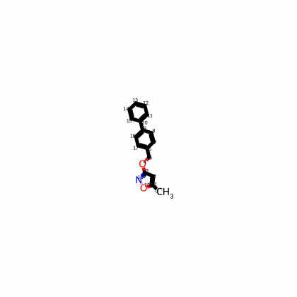 Cc1cc(OCc2ccc(-c3ccccc3)cc2)no1